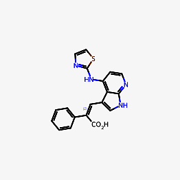 O=C(O)/C(=C\c1c[nH]c2nccc(Nc3nccs3)c12)c1ccccc1